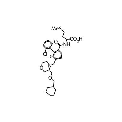 CSCC[C@H](NC(=O)c1ccc(CN2CCOC[C@@H]2COCC2CCCCC2)cc1-c1ccccc1C)C(=O)O